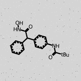 CC(C)(C)C(=O)Nc1ccc(C(C(=O)NO)c2ccccc2)cc1